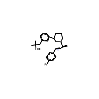 C=C(/C=C/c1ccc(C(C)C)cc1)N1CCCC(c2cccc(CC(C)(C)C=O)c2)C1